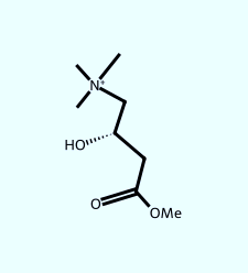 COC(=O)C[C@H](O)C[N+](C)(C)C